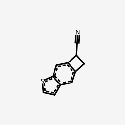 N#CC1Cc2cc3ccsc3cc21